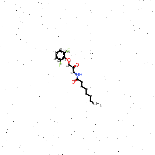 CCCCCCCC(=O)NCC(=O)COc1c(F)cccc1F